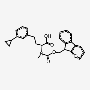 CN(C(=O)OCC1c2ccccc2-c2ccccc21)C(CCc1cccc(C2CC2)c1)C(=O)O